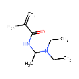 C=C(C)C(=O)NC(C)N(CC)CC